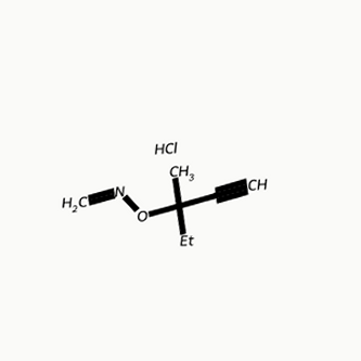 C#CC(C)(CC)ON=C.Cl